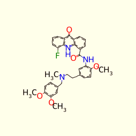 COc1ccc(CCN(C)Cc2ccc(OC)c(OC)c2)cc1NC(=O)c1cccc2c(=O)c3cccc(F)c3[nH]c12